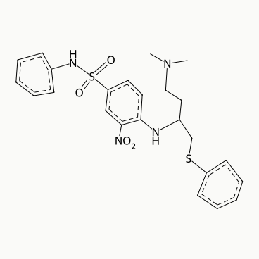 CN(C)CCC(CSc1ccccc1)Nc1ccc(S(=O)(=O)Nc2ccccc2)cc1[N+](=O)[O-]